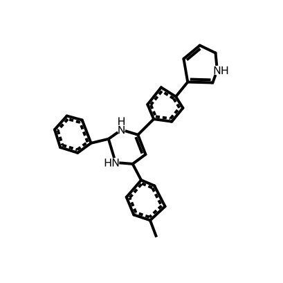 Cc1ccc(C2C=C(c3ccc(C4=CNCC=C4)cc3)NC(c3ccccc3)N2)cc1